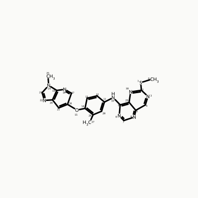 CSc1ncc2ncnc(Nc3ccc(Oc4cnc5c(c4)ncn5C)c(C)c3)c2n1